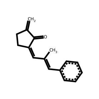 C=C1CCC(=C/C(C)=C/c2ccccc2)C1=O